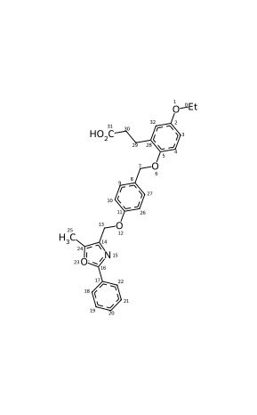 CCOc1ccc(OCc2ccc(OCc3nc(-c4ccccc4)oc3C)cc2)c(CCC(=O)O)c1